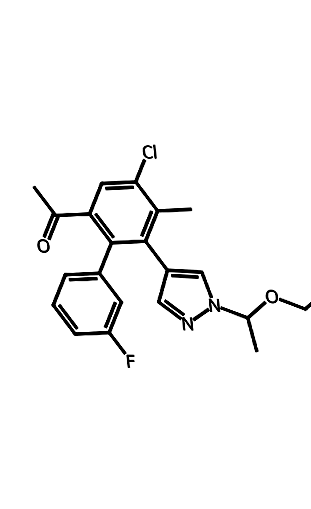 CCOC(C)n1cc(-c2c(C)c(Cl)cc(C(C)=O)c2-c2cccc(F)c2)cn1